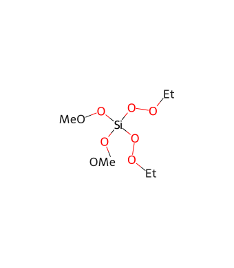 CCOO[Si](OOC)(OOC)OOCC